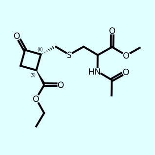 CCOC(=O)[C@H]1CC(=O)[C@@H]1CSCC(NC(C)=O)C(=O)OC